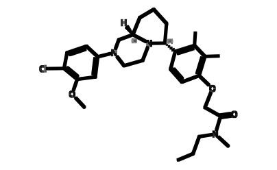 CCCN(C)C(=O)COc1ccc([C@H]2CCC[C@H]3CN(c4ccc(Cl)c(OC)c4)CCN32)c(C)c1C